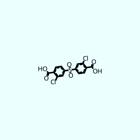 O=C(O)c1ccc(S(=O)(=O)c2ccc(C(=O)O)c(Cl)c2)cc1Cl